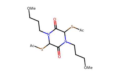 COCCCN1C(=O)C(SC(C)=O)N(CCCOC)C(=O)C1SC(C)=O